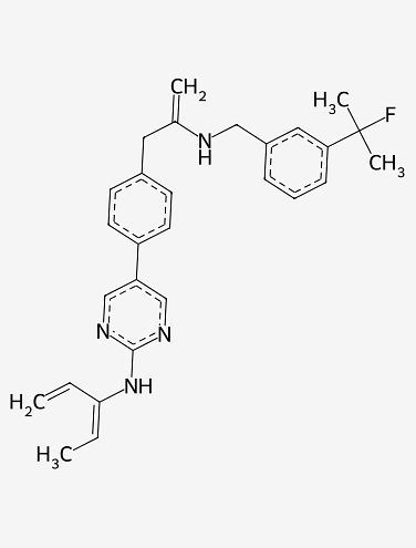 C=C/C(=C\C)Nc1ncc(-c2ccc(CC(=C)NCc3cccc(C(C)(C)F)c3)cc2)cn1